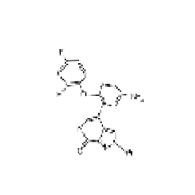 CC(C)n1cc2c(-c3cc(N)ccc3Oc3ccc(F)cc3F)cn(C)c(=O)c2n1